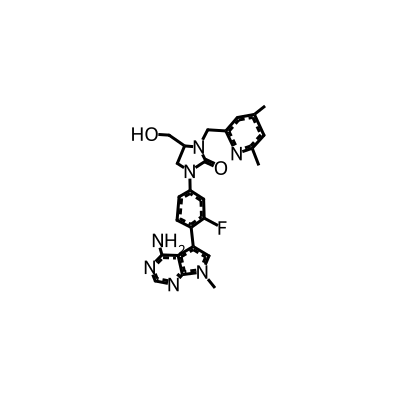 Cc1cc(C)nc(CN2C(=O)N(c3ccc(-c4cn(C)c5ncnc(N)c45)c(F)c3)CC2CO)c1